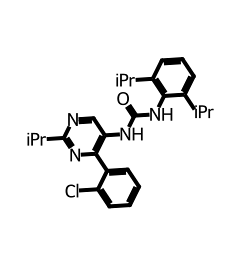 CC(C)c1ncc(NC(=O)Nc2c(C(C)C)cccc2C(C)C)c(-c2ccccc2Cl)n1